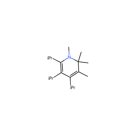 CC1=C(C(C)C)C(C(C)C)=C(C(C)C)N(C)C1(C)C